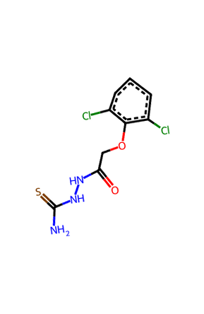 NC(=S)NNC(=O)COc1c(Cl)cccc1Cl